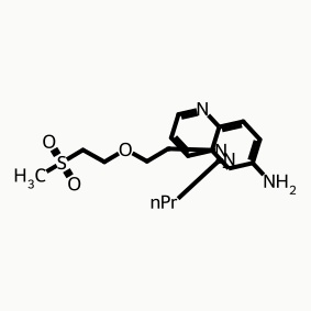 CCCC1N=C2C(N)=CC=C3N=CC=CC32N1CCOCCS(C)(=O)=O